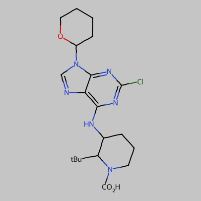 CC(C)(C)C1C(Nc2nc(Cl)nc3c2ncn3C2CCCCO2)CCCN1C(=O)O